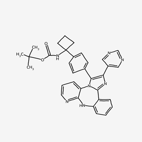 CC(C)(C)OC(=O)NC1(c2ccc(-c3c(-c4cncnc4)nc4n3-c3cccnc3Nc3ccccc3-4)cc2)CCC1